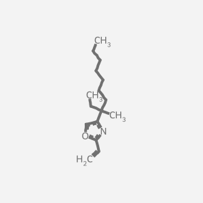 C=Cc1nc(C(C)(CC)CCCCCCC)co1